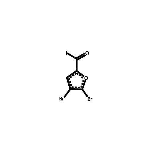 O=C(I)c1cc(Br)c(Br)o1